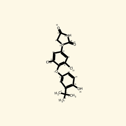 CC(C)(C)c1cc(Oc2c(Cl)cc(N3CC(=O)NC3=O)cc2Cl)ccc1O